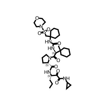 CCC[C@H](NC(=O)[C@@H]1CCCN1C(=O)[C@@H](NC(=O)NC1(CS(=O)(=O)N2CCOCC2)CCCCC1)C1(C)CCCCC1)C(=O)C(=O)NC1CC1